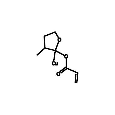 C=CC(=O)O[C]1([Cu])OCCC1C